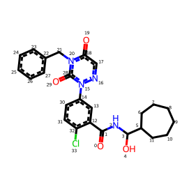 O=C(NC(O)C1CCCCCC1)c1cc(-n2ncc(=O)n(Cc3ccccc3)c2=O)ccc1Cl